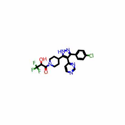 O=C(C(O)C(F)(F)F)N1CCC(c2[nH]nc(-c3ccc(Cl)cc3)c2-c2ccncn2)CC1